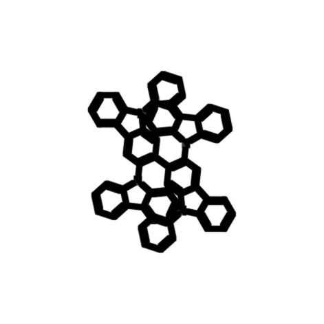 c1ccc(-n2c3ccccc3c3cc(-n4c5ccccc5c5ccccc54)c(-c4cc5c(cc4-n4c6ccccc6c6ccccc64)c4ccccc4n5-c4ccccc4)cc32)cc1